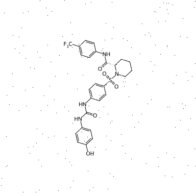 O=C(Nc1ccc(O)cc1)Nc1ccc(S(=O)(=O)N2CCCC[C@H]2C(=O)Nc2ccc(C(F)(F)F)cc2)cc1